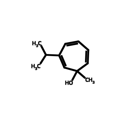 CC(C)C1=CC(C)(O)C=CC=C1